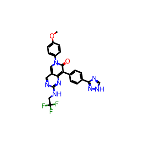 COc1ccc(-n2cc3cnc(NCC(F)(F)F)nc3c(-c3ccc(-c4nc[nH]n4)cc3)c2=O)cc1